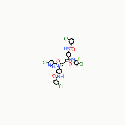 O=C(Nc1ccc(C2(NC(=O)c3ccc(Cl)nc3)CC(C3CC(NC(=O)c4ccc(Cl)c(F)c4)(c4ccc(NC(=O)c5cccc(Cl)c5)cc4)C3)C2)cc1)c1cccc(Cl)c1